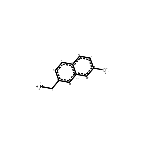 NCc1ccc2ccc(C(F)(F)F)cc2c1